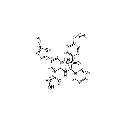 COc1ccc(S(=O)(=O)C(Nc2c(C)cc(-c3ccc(Cl)s3)cc2C(=O)NO)c2cccnc2)cc1